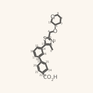 Cc1nc(CO[C@@H]2CCCOC2)sc1-c1cccc(-c2ccc(C(=O)O)cc2)c1